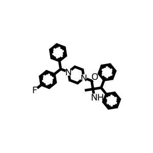 CC(N)(C(=O)N1CCN(C(c2ccccc2)c2ccc(F)cc2)CC1)C(c1ccccc1)c1ccccc1